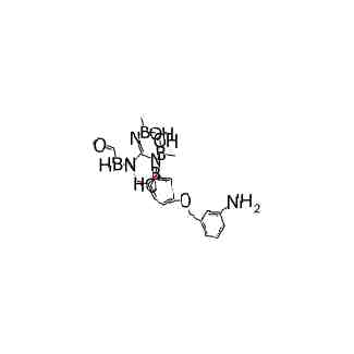 CB(O)/N=C(/N(BC=O)Cc1ccc(OCc2cccc(N)c2)cc1)N(B(C)O)B(C)O